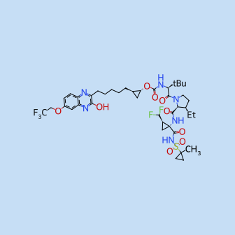 CC[C@@H]1CCN(C(=O)[C@@H](NC(=O)O[C@@H]2C[C@H]2CCCCCc2nc3ccc(OCC(F)(F)F)cc3nc2O)C(C)(C)C)[C@@H]1C(=O)N[C@]1(C(=O)NS(=O)(=O)C2(C)CC2)C[C@H]1C(F)F